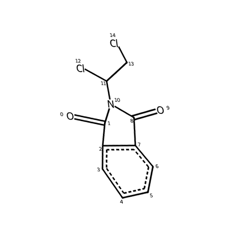 O=C1c2ccccc2C(=O)N1C(Cl)CCl